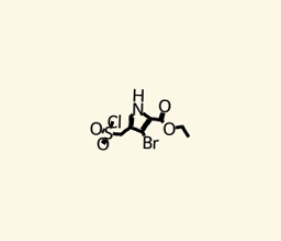 CCOC(=O)c1[nH]cc(CS(=O)(=O)Cl)c1Br